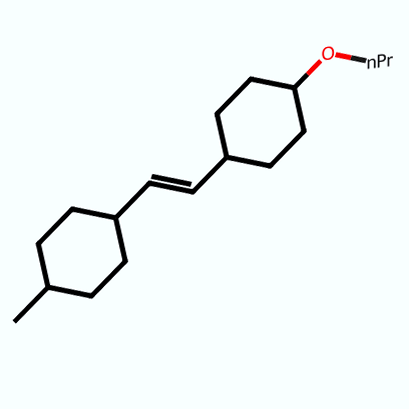 CCCOC1CCC(C=CC2CCC(C)CC2)CC1